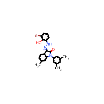 Cc1cc(C)cc(N2C(=O)/C(=N\Nc3cccc(Br)c3O)c3ccc(C)cc32)c1